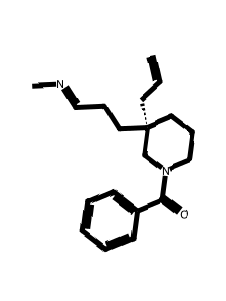 C=CC[C@]1(CC/C=N/C)CCCN(C(=O)c2ccccc2)C1